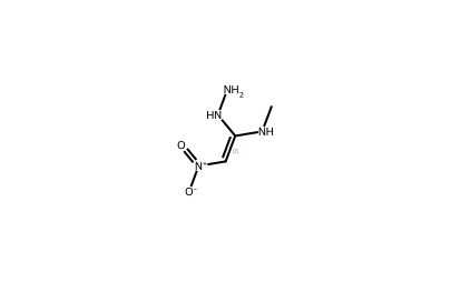 CN/C(=C/[N+](=O)[O-])NN